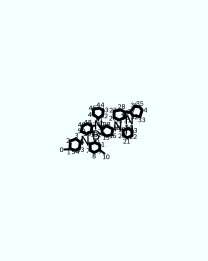 Cc1ccc(N2c3ccc(C)cc3B3c4ccc(N(c5ccccc5)c5cccc6c5[nH]c5ccccc56)cc4N(c4ccccc4)c4cccc2c43)cc1